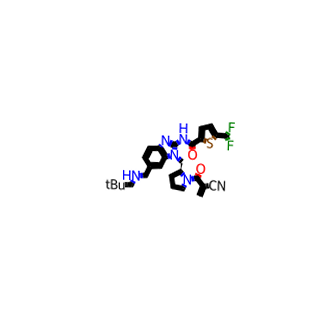 C=C(C#N)C(=O)N1CCC[C@@H]1Cn1c(NC(=O)c2ccc(C(F)F)s2)nc2ccc(CNCC(C)(C)C)cc21